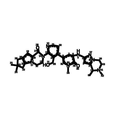 CC1c2cc(Nc3cc(-c4ccnc(N5CCn6c(cc7c6CC(C)(C)C7)C5=O)c4CO)cn(C)c3=O)nn2CCN1C